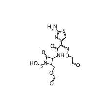 Nc1nc(/C(=N/OCC=O)C(=O)NC2C(=O)N(SO)C2COC=O)cs1